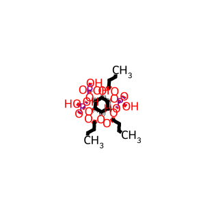 CCCC(=O)O[C@@H]1[C@H](OP(=O)(O)O)[C@@H](OC(=O)CCC)[C@H](OC(=O)CCC)[C@@H](OP(=O)(O)O)[C@@H]1OP(=O)(O)O